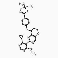 COc1ncnc(C2CC2)c1-c1ncc2c(n1)N(Cc1ccc(C3=NCC(C)(C)O3)cc1)CCO2